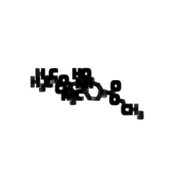 CCOC(=O)[C@H]1CC[C@@](C)(NC(=O)OC(C)(C)C)[C@H](O)C1